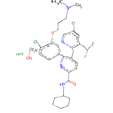 CN(C)CCCOc1cc(-c2nc(C(=O)NC3CCCCC3)ccc2-c2ncc(Cl)cc2C(F)F)ccc1Cl.Cl.O=C(O)O